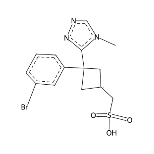 Cn1cnnc1C1(c2cccc(Br)c2)C[C](CS(=O)(=O)O)C1